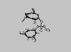 Cc1cc(C)cc(OP(=O)(OCl)Oc2cc(C)cc(C)c2)c1